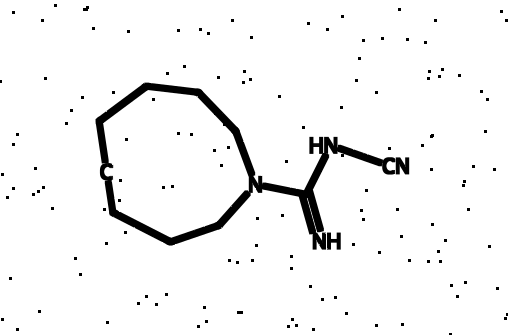 N#CNC(=N)N1CCCCCCCC1